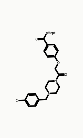 CCCCCCCC(=O)c1ccc(OCC(=O)N2CCN(Cc3ccc(Cl)cc3)CC2)cc1